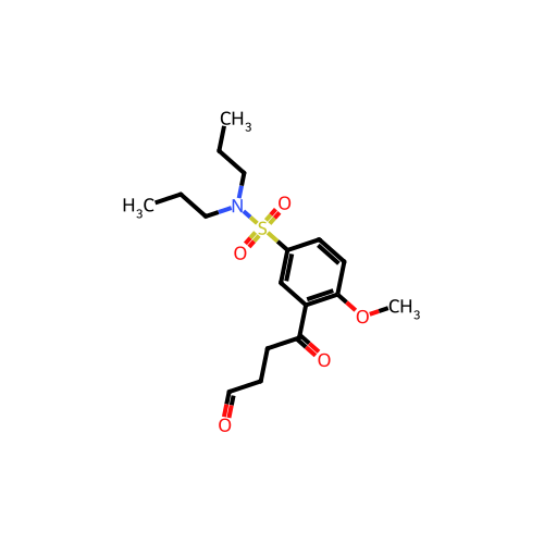 CCCN(CCC)S(=O)(=O)c1ccc(OC)c(C(=O)CCC=O)c1